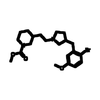 COC(=O)N1CCCC(CCN2CCC(Cc3cc(OC)ccc3Br)C2)C1